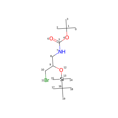 CC(C)(C)OC(=O)NCC(CBr)O[Si](C)(C)C(C)(C)C